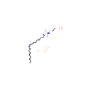 CCCCCCCC/C=C\CCCCCCCC(=O)NCCNCCO.COS(=O)(=O)O